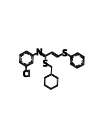 Clc1cccc(N=C(C=CSc2ccccc2)SCC2CCCCC2)c1